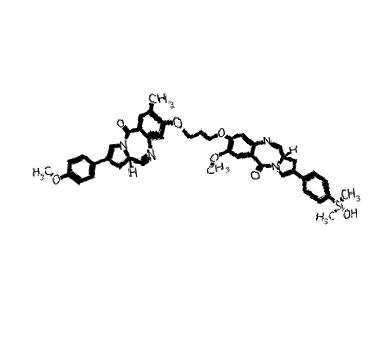 COc1ccc(C2=CN3C(=O)c4cc(C)c(OCCCOc5cc6c(cc5OC)C(=O)N5C=C(c7ccc([Si](C)(C)O)cc7)C[C@H]5C=N6)cc4N=C[C@@H]3C2)cc1